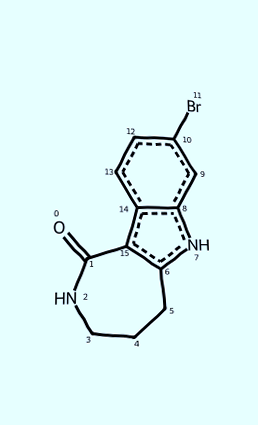 O=C1NCCCc2[nH]c3cc(Br)ccc3c21